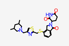 CC1CC(C)CN(Cc2csc(CSc3cccc4c3CN(C3CCC(=O)NC3=O)C4=O)n2)C1